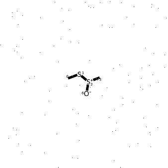 CS[S+](C)[O-]